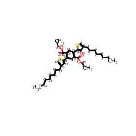 CCCCCCCCc1csc(-c2cc(C(=O)OCC)c(-c3cc(CCCCCCCC)cs3)cc2C(=O)OCC)c1